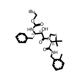 CCC(C)COC(=O)N[C@@H](Cc1ccccc1)[C@H](O)C(=O)N1CSC(C)(C)[C@H]1C(=O)NCc1ccccc1C